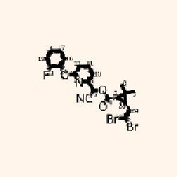 CC1(C)[C@H](C(=O)OC(C#N)c2cccc(Oc3ccccc3F)n2)[C@@H]1C=C(Br)Br